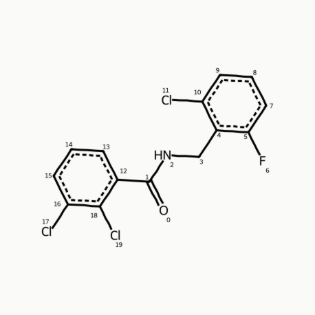 O=C(NCc1c(F)cccc1Cl)c1cccc(Cl)c1Cl